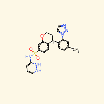 O=S(=O)(NC1=CC=CNN1)c1ccc2c(c1)OCC[C@H]2c1ccc(C(F)(F)F)cc1-n1ccnn1